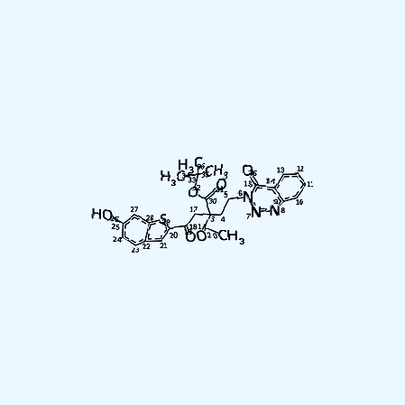 CC(=O)C(CCn1nnc2ccccc2c1=O)(CC(=O)c1cc2ccc(O)cc2s1)C(=O)OC(C)(C)C